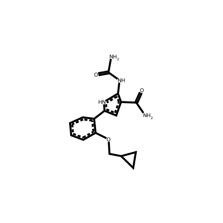 NC(=O)Nc1[nH]c(-c2ccccc2OCC2CC2)cc1C(N)=O